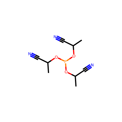 CC(C#N)OP(OC(C)C#N)OC(C)C#N